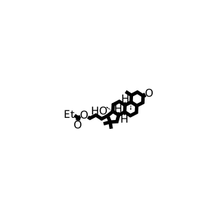 CCC(=O)OCCCC1(O)C(C)(C)C[C@H]2[C@@H]3CCC4CC(=O)CC(C)[C@]4(C)[C@@H]3CC[C@@]21C